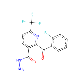 NNC(=O)c1ccc(C(F)(F)F)nc1C(=O)c1ccccc1F